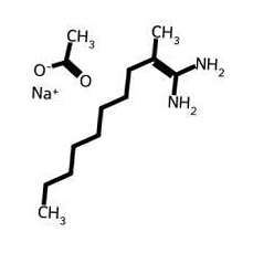 CC(=O)[O-].CCCCCCCCC(C)=C(N)N.[Na+]